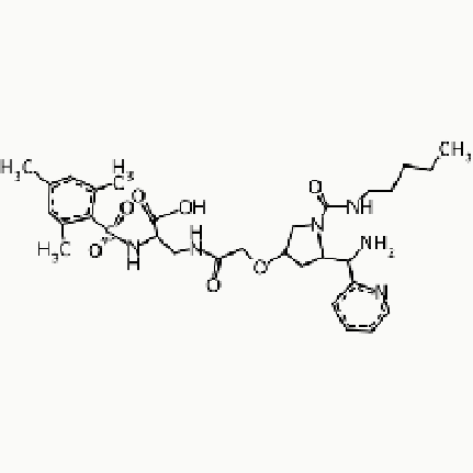 CCCCCNC(=O)N1CC(OCC(=O)NCC(NS(=O)(=O)c2c(C)cc(C)cc2C)C(=O)O)CC1C(N)c1ccccn1